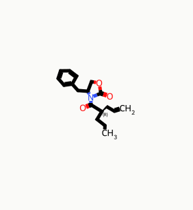 C=CC[C@@H](CCC)C(=O)N1C(=O)OCC1Cc1ccccc1